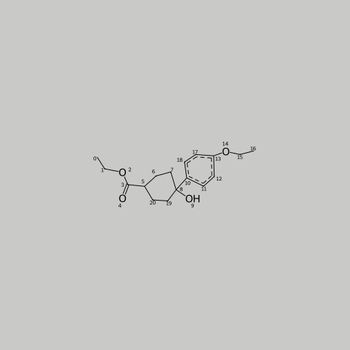 CCOC(=O)C1CCC(O)(c2ccc(OCC)cc2)CC1